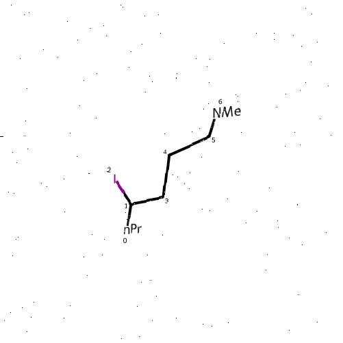 CCCC(I)CCCNC